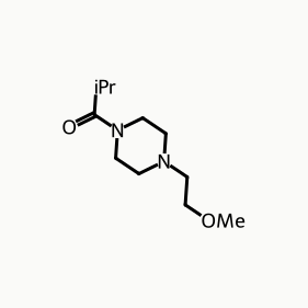 COCCN1CCN(C(=O)C(C)C)CC1